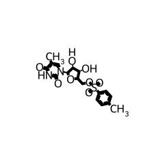 Cc1ccc(S(=O)(=O)OCC2O[C@@H](n3cc(C)c(=O)[nH]c3=O)[C@H](O)[C@@H]2O)cc1